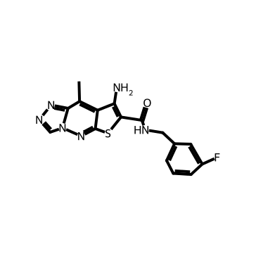 Cc1c2c(N)c(C(=O)NCc3cccc(F)c3)sc2nn2cnnc12